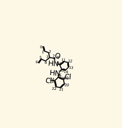 C=CCC(CC=C)C(=O)Nc1ccccc1Nc1c(Cl)cccc1Cl